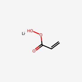 C=CC(=O)OO.[Li]